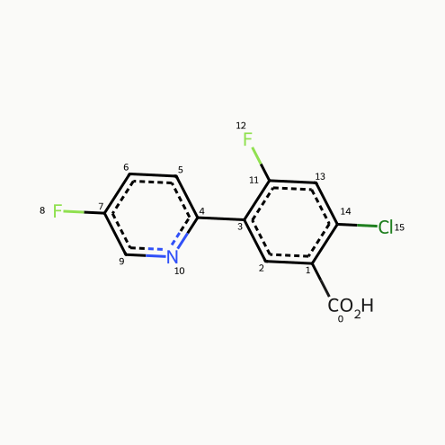 O=C(O)c1cc(-c2ccc(F)cn2)c(F)cc1Cl